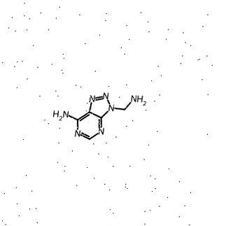 NCn1nnc2c(N)ncnc21